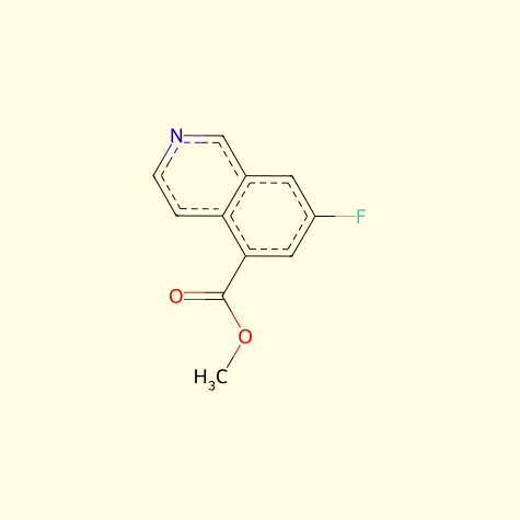 COC(=O)c1cc(F)cc2cnccc12